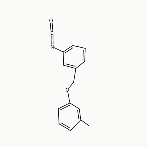 Cc1cccc(OCc2cccc(N=C=O)c2)c1